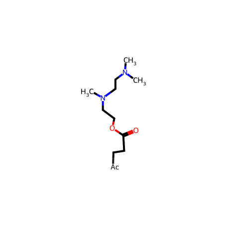 CC(=O)CCC(=O)OCCN(C)CCN(C)C